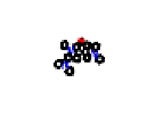 c1ccc(N(c2ccccc2)c2cccc3c2-c2ccccc2C32c3ccccc3-c3c(N(c4ccccc4)c4ccc5c(c4)c4ccccc4n5-c4ccccc4)cc4ccccc4c32)cc1